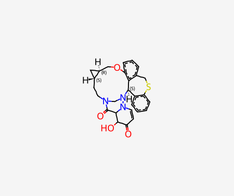 O=C1C=CN2C(C(=O)N3CC[C@@H]4C[C@H]4COc4cccc5c4[C@@H](c4ccccc4SC5)N2C3)C1O